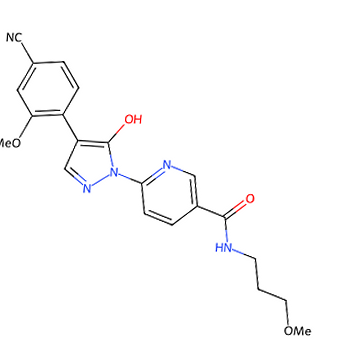 COCCCNC(=O)c1ccc(-n2ncc(-c3ccc(C#N)cc3OC)c2O)nc1